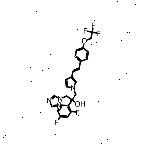 OC(Cn1ccc(C=Cc2ccc(OCC(F)(F)F)cc2)c1)(Cn1cncn1)c1ccc(F)cc1F